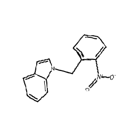 O=[N+]([O-])c1ccccc1Cn1ccc2ccccc21